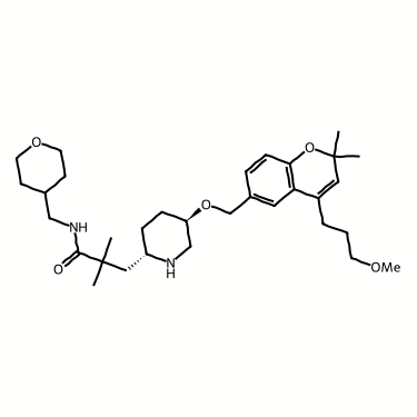 COCCCC1=CC(C)(C)Oc2ccc(CO[C@@H]3CC[C@@H](CC(C)(C)C(=O)NCC4CCOCC4)NC3)cc21